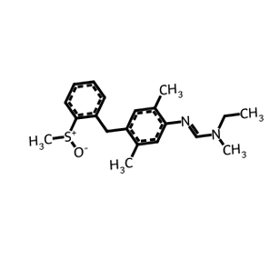 CCN(C)C=Nc1cc(C)c(Cc2ccccc2[S+](C)[O-])cc1C